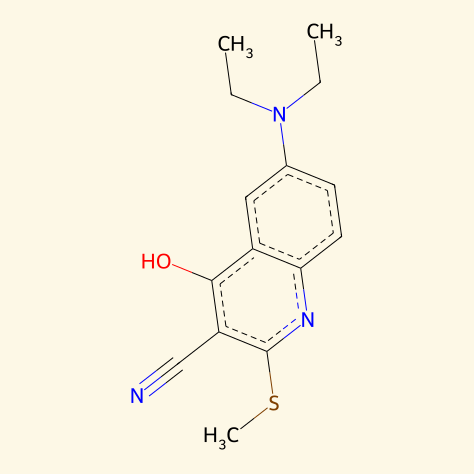 CCN(CC)c1ccc2nc(SC)c(C#N)c(O)c2c1